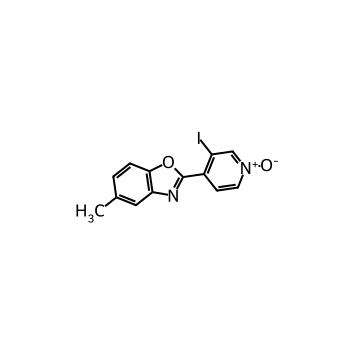 Cc1ccc2oc(-c3cc[n+]([O-])cc3I)nc2c1